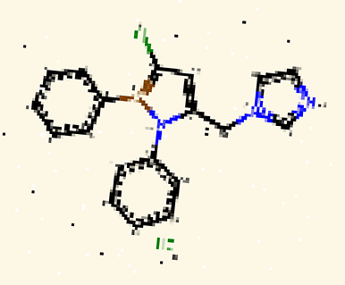 Cl.ClC1=S(c2ccccc2)N(c2ccccc2)C(Cn2ccnc2)=C1